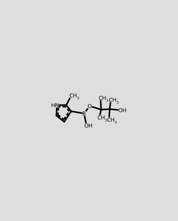 Cc1[nH]ccc1B(O)OC(C)(C)C(C)(C)O